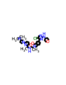 CC(NC(=O)C(C)N1Cc2ccc(-c3nc(NC4CCOCC4)ncc3Cl)cc2C1=O)c1cccc(N2CC[C@H](N(C)C)C2)n1